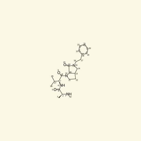 CN[C@@H](C)C(=O)N[C@H](C(=O)N1CCC2CN(CCc3ccccc3)C(=O)C21)C(C)C